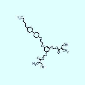 C=C(CO)C(=O)OCOc1cc(OCCOC2CCC(C3CCC(CCCCC)CC3)CC2)cc(OCOC(=O)C(=C)CO)c1